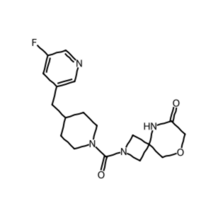 O=C1COCC2(CN(C(=O)N3CCC(Cc4cncc(F)c4)CC3)C2)N1